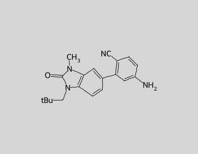 Cn1c(=O)n(CC(C)(C)C)c2ccc(-c3cc(N)ccc3C#N)cc21